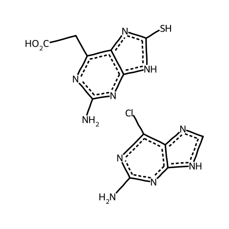 Nc1nc(CC(=O)O)c2nc(S)[nH]c2n1.Nc1nc(Cl)c2nc[nH]c2n1